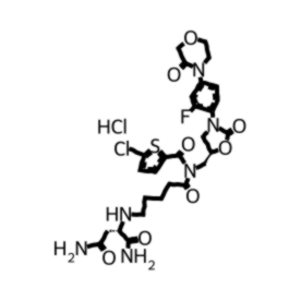 Cl.NC(=O)C[C@H](NCCCCC(=O)N(C[C@H]1CN(c2ccc(N3CCOCC3=O)cc2F)C(=O)O1)C(=O)c1ccc(Cl)s1)C(N)=O